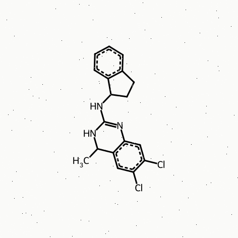 CC1NC(NC2CCc3ccccc32)=Nc2cc(Cl)c(Cl)cc21